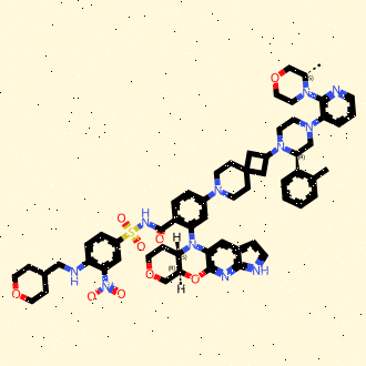 Cc1ccccc1[C@@H]1CN(c2cccnc2N2CCOC[C@@H]2C)CCN1C1CC2(CCN(c3ccc(C(=O)NS(=O)(=O)c4ccc(NCC5CCOCC5)c([N+](=O)[O-])c4)c(N4c5cc6cc[nH]c6nc5O[C@H]5COCC[C@@H]54)c3)CC2)C1